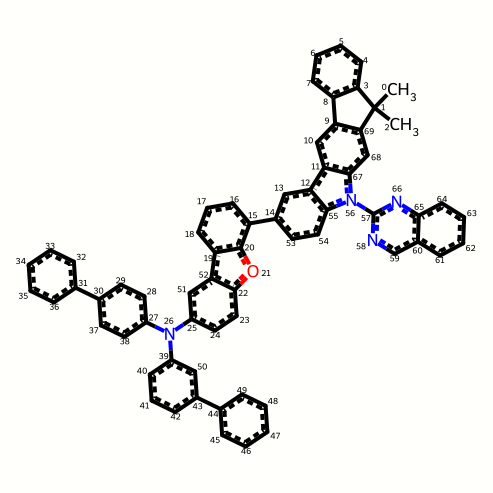 CC1(C)c2ccccc2-c2cc3c4cc(-c5cccc6c5oc5ccc(N(c7ccc(-c8ccccc8)cc7)c7cccc(-c8ccccc8)c7)cc56)ccc4n(-c4ncc5ccccc5n4)c3cc21